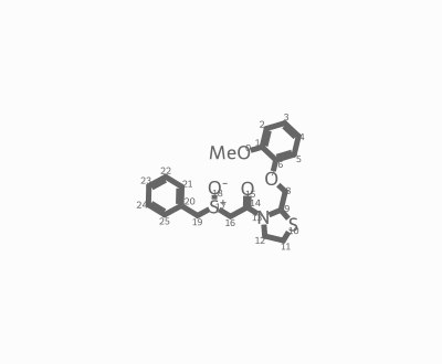 COc1ccccc1OCC1SCCN1C(=O)C[S+]([O-])Cc1ccccc1